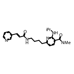 CNC(=O)c1ccc(CCCCNC(=O)/C=C/c2cccnc2)nc1NC(C)C